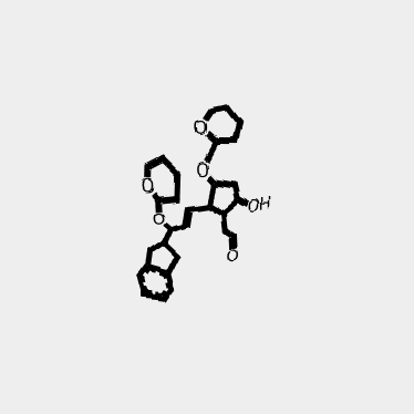 O=CCC1C(O)CC(OC2CCCCO2)C1C=CC(OC1CCCCO1)C1Cc2ccccc2C1